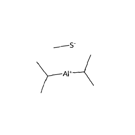 C[CH](C)[Al+][CH](C)C.C[S-]